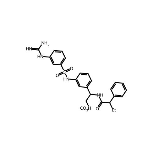 CCC(C(=O)NC(CC(=O)O)c1cccc(NS(=O)(=O)c2cccc(NC(=N)N)c2)c1)c1ccccc1